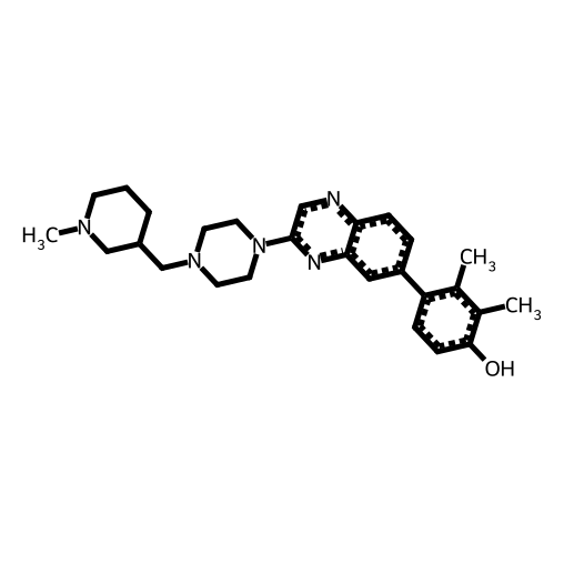 Cc1c(O)ccc(-c2ccc3ncc(N4CCN(CC5CCCN(C)C5)CC4)nc3c2)c1C